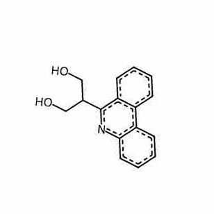 OCC(CO)c1nc2ccccc2c2ccccc12